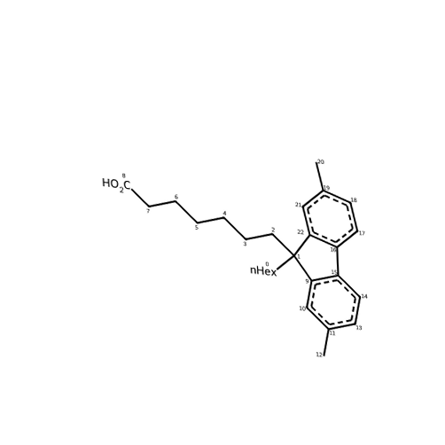 CCCCCCC1(CCCCCCC(=O)O)c2cc(C)ccc2-c2ccc(C)cc21